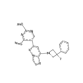 COc1ncc(-c2cc(N3CC(F)(c4ccccc4)C3)c3nccn3n2)c(OC)n1